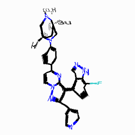 CC(C)(C)[C@]12C[C@@H](CN1C(=O)O)N(c1ccc(-c3ccn4nc(-c5ccncc5)c(-c5ccc(F)c6[nH]ncc56)c4n3)cc1)C2